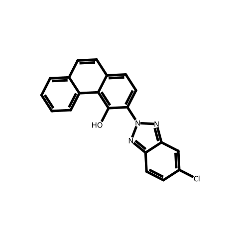 Oc1c(-n2nc3ccc(Cl)cc3n2)ccc2ccc3ccccc3c12